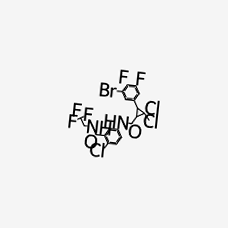 O=C(NCC(F)(F)F)c1cc(NC(=O)C2C(c3cc(F)c(F)c(Br)c3)C2(Cl)Cl)ccc1Cl